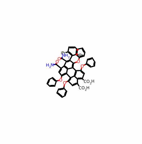 CC(C)c1cccc(C(C)C)c1-c1c(C(N)=O)c2c(C(N)=O)cc(Oc3ccccc3)c3c4c(Oc5ccccc5)cc(C(=O)O)c5c(C(=O)O)cc(Oc6ccccc6)c(c(c1Oc1ccccc1)c23)c54